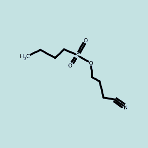 CCCCS(=O)(=O)OCCCC#N